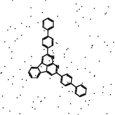 c1ccc(-c2ccc(-c3cc4c5c(cc(-c6ccc(-c7ccccc7)cc6)nc5n3)-c3ccccc3-4)cc2)cc1